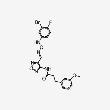 COc1cccc(CCC(=O)Nc2nonc2/C=N/ONc2ccc(F)c(Br)c2)c1